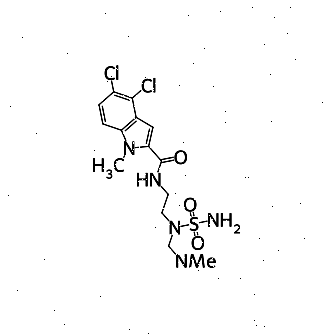 CNCN(CCNC(=O)c1cc2c(Cl)c(Cl)ccc2n1C)S(N)(=O)=O